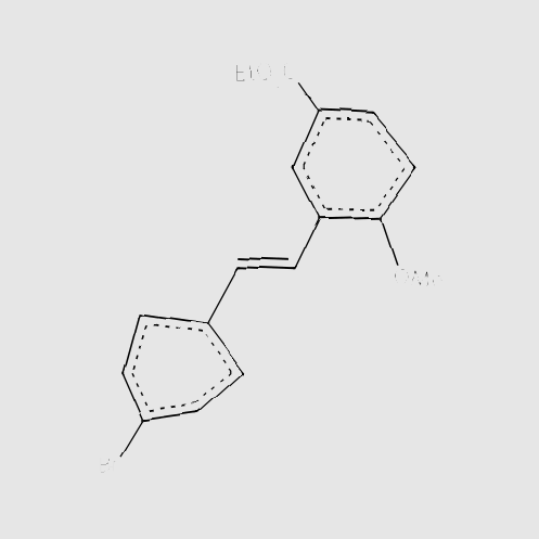 CCOC(=O)c1ccc(OC)c(/C=C/c2ccc(Br)cc2)c1